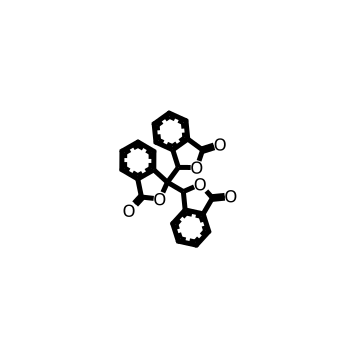 O=C1OC(C2(C3OC(=O)c4ccccc43)OC(=O)c3ccccc32)c2ccccc21